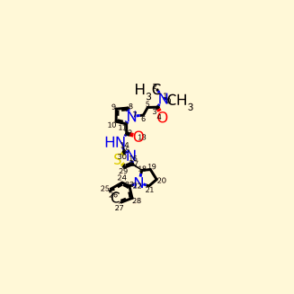 CN(C)C(=O)CCn1cccc1C(=O)Nc1nc([C@H]2CCCN2c2ccccc2)cs1